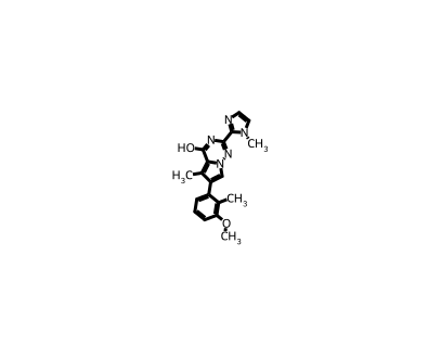 COc1cccc(-c2cn3nc(-c4nccn4C)nc(O)c3c2C)c1C